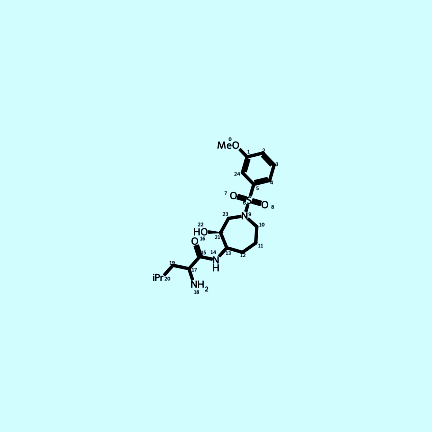 COc1cccc(S(=O)(=O)N2CCCC(NC(=O)C(N)CC(C)C)[C@@H](O)C2)c1